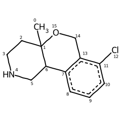 CC12CCNCC1c1cccc(Cl)c1CO2